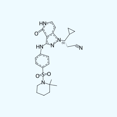 CC1(C)CCCCN1S(=O)(=O)c1ccc(Nc2nn([C@@H](CC#N)C3CC3)c3cc[nH]c(=O)c23)cc1